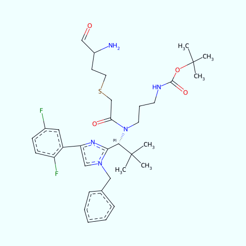 CC(C)(C)OC(=O)NCCCN(C(=O)CSCCC(N)C=O)[C@@H](c1nc(-c2cc(F)ccc2F)cn1Cc1ccccc1)C(C)(C)C